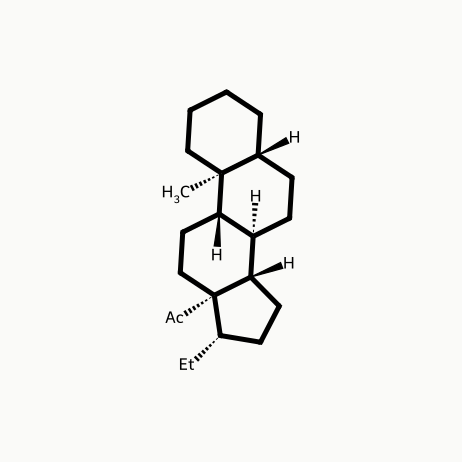 CC[C@H]1CC[C@H]2[C@@H]3CC[C@H]4CCCC[C@]4(C)[C@H]3CC[C@]12C(C)=O